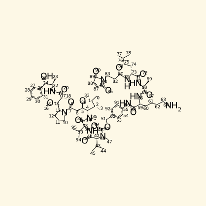 CC[C@H](C)[C@@H]([C@@H](CC(=O)N1CCC[C@H]1[C@H](OC)[C@@H](C)C(=O)N[C@H](C)[C@@H](O)c1ccccc1)OC)N(C)C(=O)[C@@H](NC(=O)[C@H](C(C)C)N(C)C(=O)OCc1ccc(NC(=O)[C@H](CCCCN)NC(=O)[C@H](C)NC(=O)[C@@H](CCC(C)C)NC(=O)CCN2C(=O)C=CC2=O)cc1)C(C)C